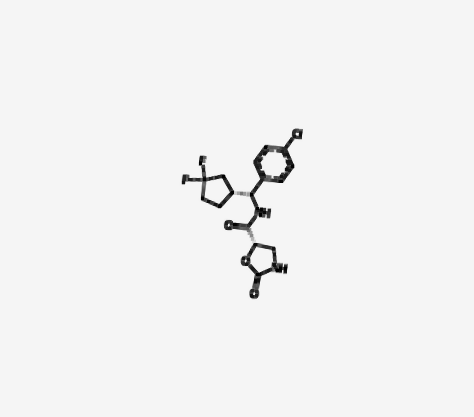 O=C1NC[C@@H](C(=O)NC(c2ccc(Cl)cc2)[C@@H]2CCC(F)(F)C2)O1